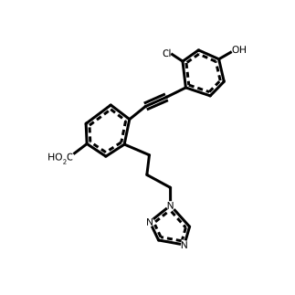 O=C(O)c1ccc(C#Cc2ccc(O)cc2Cl)c(CCCn2cncn2)c1